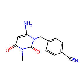 Cn1c(=O)cc(N)n(Cc2ccc(C#N)cc2)c1=O